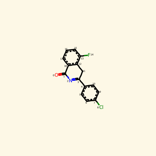 O=C1N=C(c2ccc(Cl)cc2)Cc2c(F)cccc21